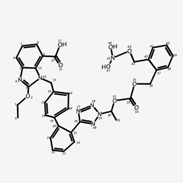 CCOc1nc2cccc(C(=O)O)c2n1Cc1ccc(-c2ccccc2-c2nnn(C(C)OC(=O)OCc3ccccc3CON(O)O)n2)cc1